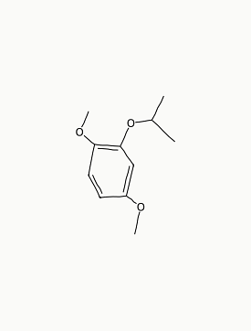 COc1ccc(OC)c(OC(C)C)c1